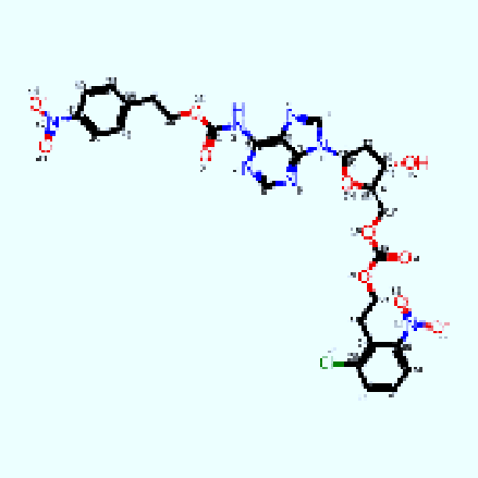 O=C(Nc1ncnc2c1ncn2[C@H]1C[C@H](O)[C@@H](COC(=O)OCCc2c(Cl)cccc2[N+](=O)[O-])O1)OCCc1ccc([N+](=O)[O-])cc1